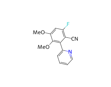 COc1cc(F)c(C#N)c(-c2ccccn2)c1OC